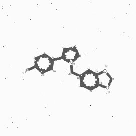 Fc1ccc(-c2c[c]cn2Cc2ccc3c(c2)OCO3)cc1